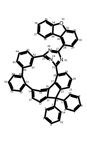 c1ccc(C2(c3ccccc3)c3ccc4cc3-c3c(cccc32)-c2nc(nc(-c3cccc5oc6ccccc6c35)n2)-c2cccc(c2)-c2ccccc2-4)cc1